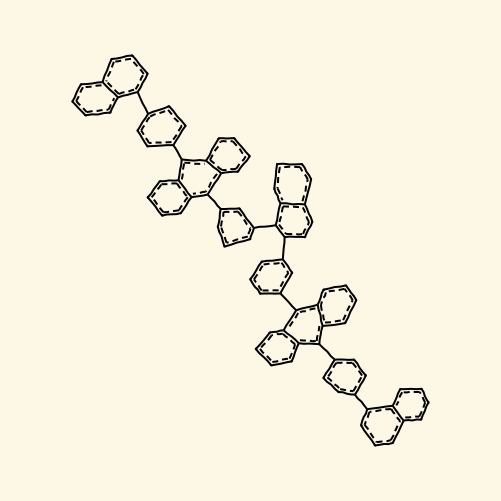 c1cc(-c2ccc3ccccc3c2-c2cccc(-c3c4ccccc4c(-c4ccc(-c5cccc6ccccc56)cc4)c4ccccc34)c2)cc(-c2c3ccccc3c(-c3ccc(-c4cccc5ccccc45)cc3)c3ccccc23)c1